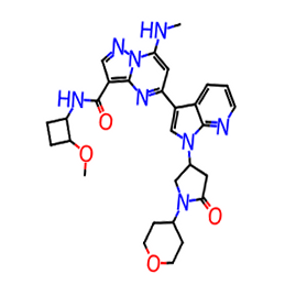 CNc1cc(-c2cn(C3CC(=O)N(C4CCOCC4)C3)c3ncccc23)nc2c(C(=O)NC3CCC3OC)cnn12